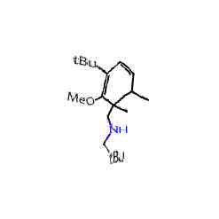 COC1=C(C(C)(C)C)C=CC(C)C1(C)CNCC(C)(C)C